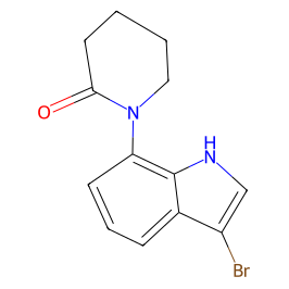 O=C1CCCCN1c1cccc2c(Br)c[nH]c12